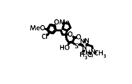 COc1cc(OC)c(CCC2(C3CCCC3)CC(O)=C(Sc3nnc(CN(C)C)n3C)C(=O)O2)cc1Cl